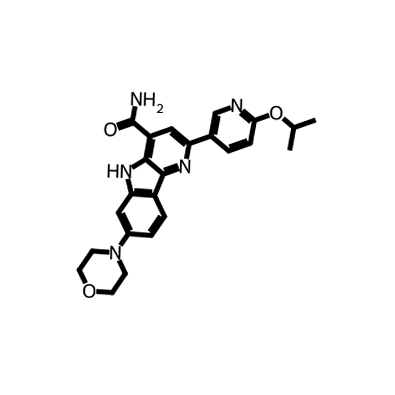 CC(C)Oc1ccc(-c2cc(C(N)=O)c3[nH]c4cc(N5CCOCC5)ccc4c3n2)cn1